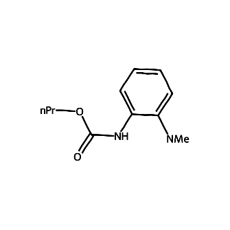 CCCOC(=O)Nc1ccccc1NC